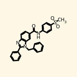 CS(=O)(=O)c1ccc(NC(=O)c2ccc3nc(-c4ccccc4)n(Cc4ccccc4)c3c2)cc1